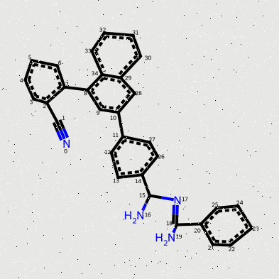 N#Cc1ccccc1-c1cc(-c2ccc(C(N)/N=C(\N)c3ccccc3)cc2)cc2ccccc12